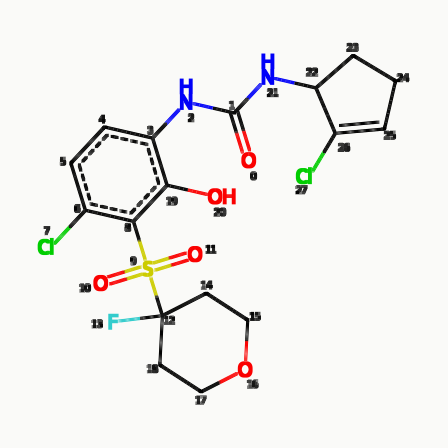 O=C(Nc1ccc(Cl)c(S(=O)(=O)C2(F)CCOCC2)c1O)NC1CCC=C1Cl